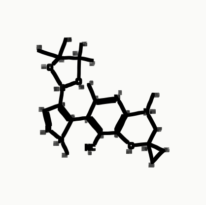 Cc1nc2c(c(C#N)c1-c1c(B3OC(C)(C)C(C)(C)O3)cnn1C)OC1(CC1)CN2C